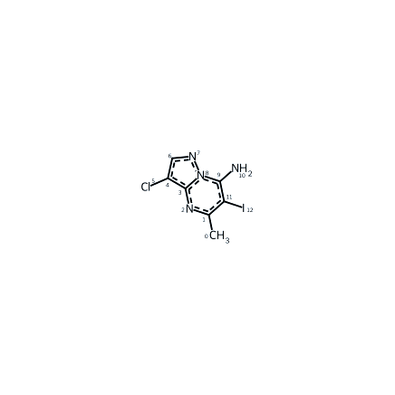 Cc1nc2c(Cl)cnn2c(N)c1I